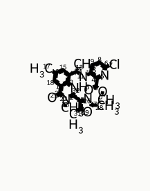 COC(=O)c1nc(Cl)ccc1N[C@H](C)c1cc(C)cc2c(=O)n(C)c(-c3nc(C)oc3C)nc12